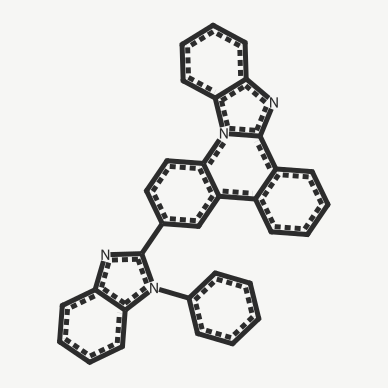 c1ccc(-n2c(-c3ccc4c(c3)c3ccccc3c3nc5ccccc5n43)nc3ccccc32)cc1